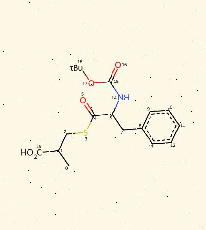 CC(CSC(=O)C(Cc1ccccc1)NC(=O)OC(C)(C)C)C(=O)O